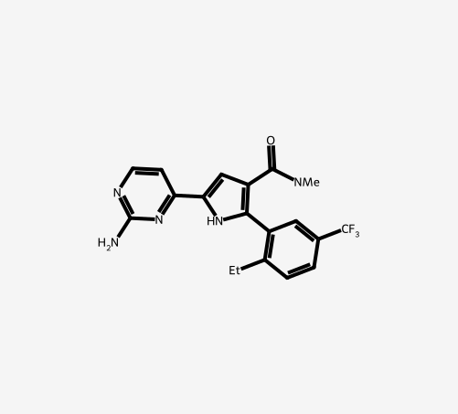 CCc1ccc(C(F)(F)F)cc1-c1[nH]c(-c2ccnc(N)n2)cc1C(=O)NC